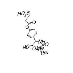 COC(O)C(NC(=O)OC(C)(C)C)c1ccc(OC(=O)CCS(=O)(=O)O)cc1